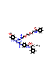 COC(=O)[C@@H](NC(=O)c1ccc(Nc2nc(NCCOCCOCCNC(=O)c3ccccc3)nc(Nc3ccc(O)cc3)n2)cc1)c1ccccc1